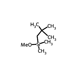 CO[Si](C)(C)CC(C)(C)C